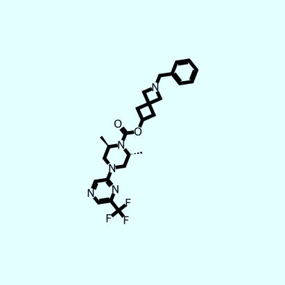 C[C@@H]1CN(c2cncc(C(F)(F)F)n2)C[C@@H](C)N1C(=O)OC1CC2(C1)CN(Cc1ccccc1)C2